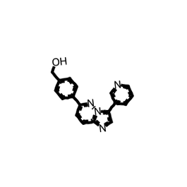 OCc1ccc(-c2ccc3ncc(-c4cccnc4)n3n2)cc1